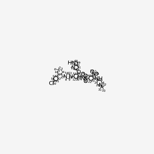 CC1(C)CCC(CN2CCN(c3ccc(C(=O)NS(=O)(=O)c4ccc(NC5CCN(C(C)(C)C)CC5)c([N+](=O)[O-])c4)c(Oc4cnc5[nH]ccc5c4)c3)CC2)=C(c2ccc(Cl)cc2)C1